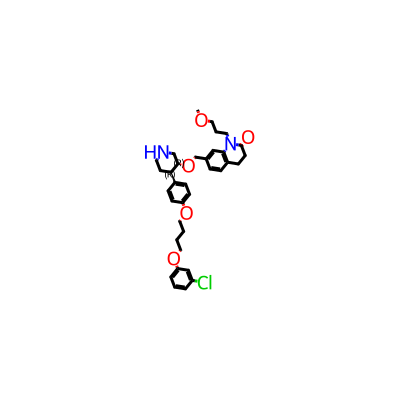 COCCCN1C(=O)CCc2ccc(CO[C@H]3CNCC[C@@H]3c3ccc(OCCCCOc4cccc(Cl)c4)cc3)cc21